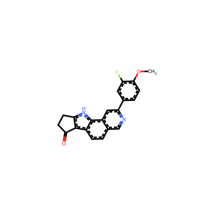 COc1ccc(-c2cc3c(ccc4c5c([nH]c43)CCC5=O)cn2)cc1F